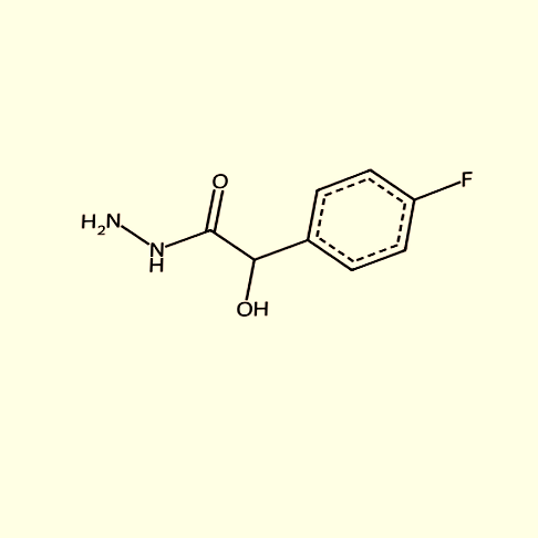 NNC(=O)C(O)c1ccc(F)cc1